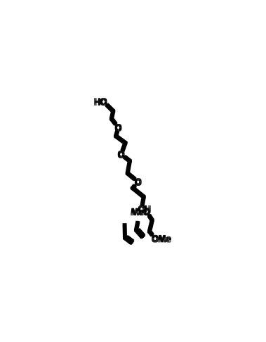 C=CC.C=CC.COCCOC.OCCOCCOCCOCCO